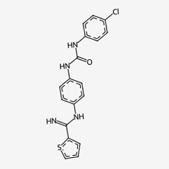 N=C(Nc1ccc(NC(=O)Nc2ccc(Cl)cc2)cc1)c1cccs1